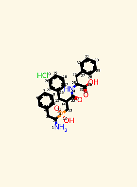 Cl.NC(Cc1ccccc1)P(=O)(O)CC(Cc1ccccc1)C(=O)N[C@@H](Cc1ccccc1)C(=O)O